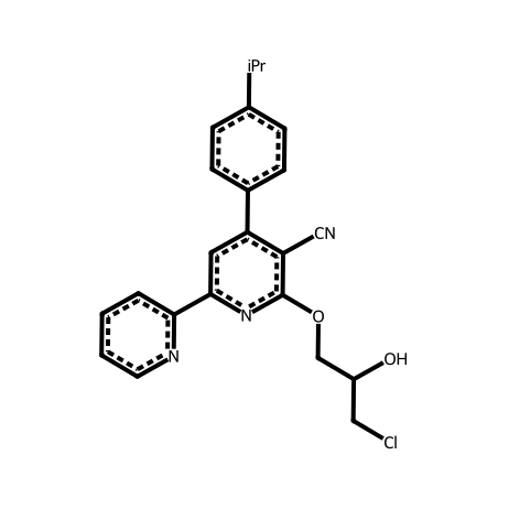 CC(C)c1ccc(-c2cc(-c3ccccn3)nc(OCC(O)CCl)c2C#N)cc1